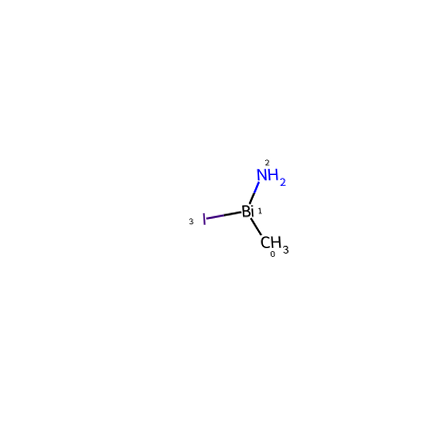 [CH3][Bi]([NH2])[I]